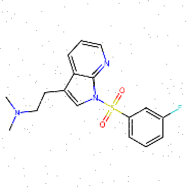 CN(C)CCc1cn(S(=O)(=O)c2cccc(F)c2)c2ncccc12